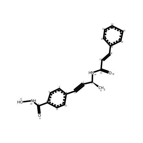 C[C@@H](C#Cc1ccc(C(=O)NO)cc1)NC(=O)C=Cc1ccccc1